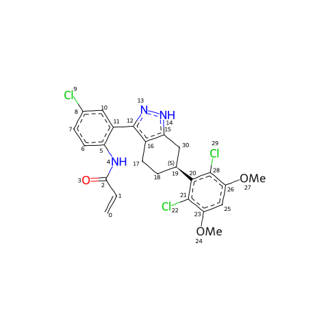 C=CC(=O)Nc1ccc(Cl)cc1-c1n[nH]c2c1CC[C@H](c1c(Cl)c(OC)cc(OC)c1Cl)C2